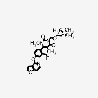 Cc1c(-c2ccc(Oc3nccc4occc34)cc2CF)n(C)c(=O)n(COCC[Si](C)(C)C)c1=O